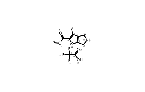 COC(=O)c1sc2c(c1C)CNC2.O=C(O)C(F)(F)F